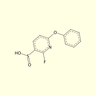 O=S(O)c1ccc(Oc2ccccc2)nc1F